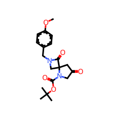 COc1ccc(CN2CC3(CC(=O)CN3C(=O)OC(C)(C)C)C2=O)cc1